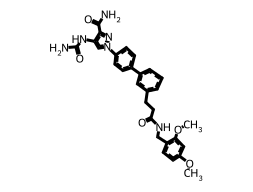 COc1ccc(CNC(=O)CCc2cccc(-c3ccc(-n4cc(NC(N)=O)c(C(N)=O)n4)cc3)c2)c(OC)c1